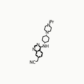 CC(C)N1CCN([C@H]2CC[C@@H](Nc3ncnc4cc(CC#N)ccc34)CC2)CC1